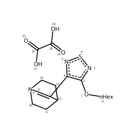 CCCCCCOc1nsnc1C1=CN2CCC1CC2.O=C(O)C(=O)O